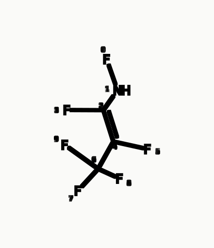 FNC(F)=C(F)C(F)(F)F